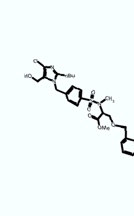 CCCCc1nc(Cl)c(CO)n1Cc1ccc(S(=O)(=O)N(C)C(COCc2ccccc2)C(=O)OC)cc1